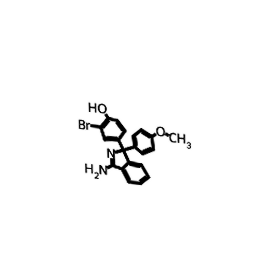 COc1ccc(C2(c3ccc(O)c(Br)c3)N=C(N)c3ccccc32)cc1